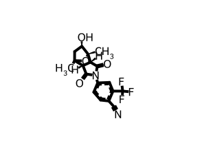 CC12C[C@@H](O)[C@@](C)(O1)[C@@H]1C(=O)N(c3ccc(C#N)c(C(F)(F)F)c3)C(=O)[C@@H]12